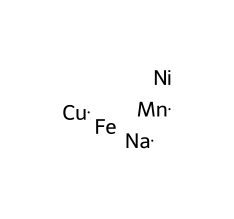 [Cu].[Fe].[Mn].[Na].[Ni]